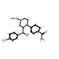 CCCCCN1CCC(c2ccc(C(N)=O)cc2)C(C(O)c2ccc(C(F)(F)F)cc2)C1